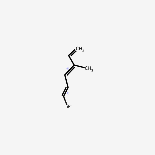 C=C/C(C)=C/C=C/C(C)C